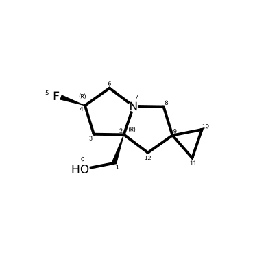 OC[C@@]12C[C@@H](F)CN1CC1(CC1)C2